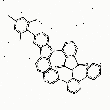 Cc1cc(C)c(-c2ccc3c(c2)c2ccccc2n3-c2cccc3c2C(=O)N(c2c(-c4ccccc4)cccc2-c2ccccc2)C3=O)c(C)c1